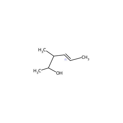 C/C=C/C(C)C(C)O